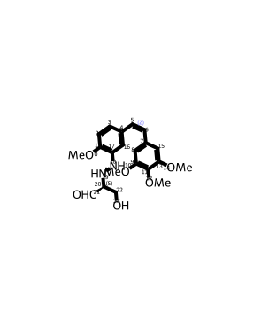 COc1ccc(/C=C\c2cc(OC)c(OC)c(OC)c2)cc1NN[C@H](C=O)CO